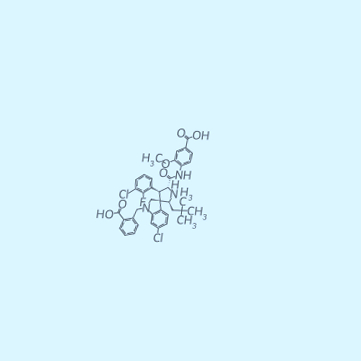 COc1cc(C(=O)O)ccc1NC(=O)[C@@H]1N[C@@H](CC(C)(C)C)[C@@]2(CN(Cc3ccccc3C(=O)O)c3cc(Cl)ccc32)[C@H]1c1cccc(Cl)c1F